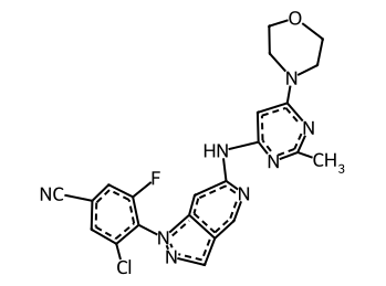 Cc1nc(Nc2cc3c(cn2)cnn3-c2c(F)cc(C#N)cc2Cl)cc(N2CCOCC2)n1